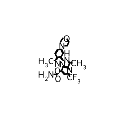 Cc1nnc(N[C@H](C)c2cc(OC(N)=O)cc(C(F)(F)F)n2)c2cc(N3CCOCC3)ccc12